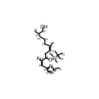 CC(=CCC(O[Si](C)(C)C(C)(C)C)/C(F)=C\c1cnn(C)n1)CCCC(C)CO